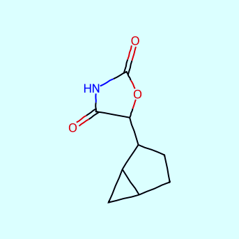 O=C1NC(=O)C(C2CCC3CC32)O1